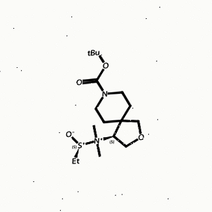 CC[S@@+]([O-])[N+](C)(C)[C@@H]1COCC12CCN(C(=O)OC(C)(C)C)CC2